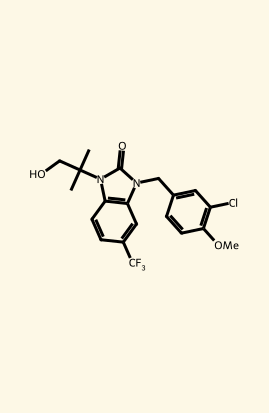 COc1ccc(Cn2c(=O)n(C(C)(C)CO)c3ccc(C(F)(F)F)cc32)cc1Cl